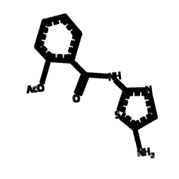 CC(=O)Oc1ccccc1C(=O)Nc1ncc(N)s1